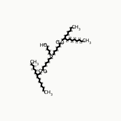 CCCCCCCCC(CCCCCC)COC(=O)CCCCCCN(CCCCO)CCCCCC(=O)OCC(CCCCCC)CCCCCCCC